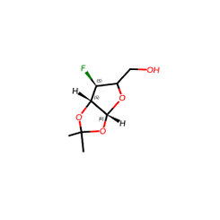 CC1(C)O[C@H]2OC(CO)[C@H](F)[C@H]2O1